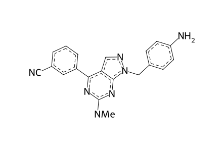 CNc1nc(-c2cccc(C#N)c2)c2cnn(Cc3ccc(N)cc3)c2n1